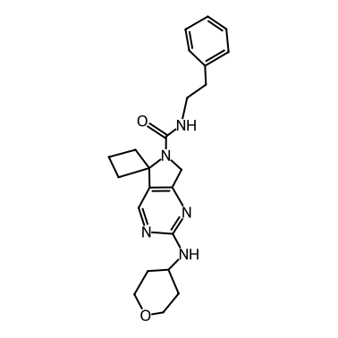 O=C(NCCc1ccccc1)N1Cc2nc(NC3CCOCC3)ncc2C12CCC2